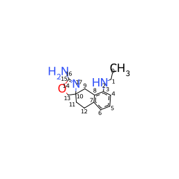 CCNc1cccc2c1CC1(CC2)COC(N)=N1